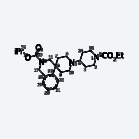 CCOC(=O)N1CCC(N2CCC3(CC2)CN(C(=O)OC(C)C)Cc2ccccc23)CC1